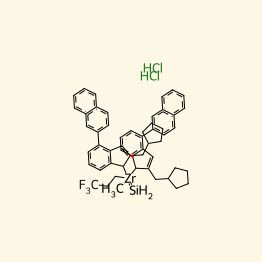 Cl.Cl.[CH3][Zr](=[SiH2])([CH2]CC(F)(F)F)([CH]1C(CC2CCCC2)=Cc2c(-c3ccc4ccccc4c3)cccc21)[CH]1C(CC2CCCC2)=Cc2c(-c3ccc4ccccc4c3)cccc21